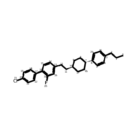 CCCc1ccc([C@H]2CC[C@H](CCc3ccc(-c4ccc(Cl)cc4)c(F)c3)CC2)cc1